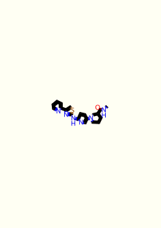 CNC(=O)C1CCCN(c2ccc(Nc3nc(-c4ccccn4)cs3)nc2)C1